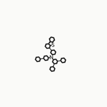 c1ccc(-c2ccc(N(c3cc(-c4ccccc4)cc(-c4ccccc4)c3)c3cccc(-c4cccc5c4sc4ccccc45)c3)cc2)cc1